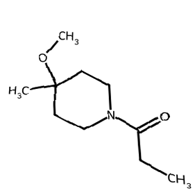 CCC(=O)N1CCC(C)(OC)CC1